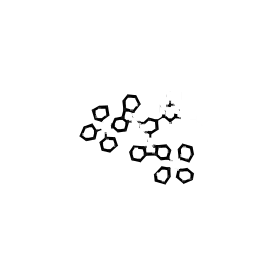 Cc1nc(C)c(C)c(-c2cc(-n3c4ccccc4c4cc([Si](c5ccccc5)(c5ccccc5)c5ccccc5)ccc43)nc(-n3c4ccccc4c4cc([Si](c5ccccc5)(c5ccccc5)c5ccccc5)ccc43)c2)n1